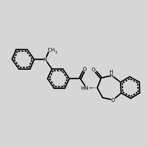 CN(c1ccccc1)c1cccc(C(=O)N[C@H]2COc3ccccc3NC2=O)c1